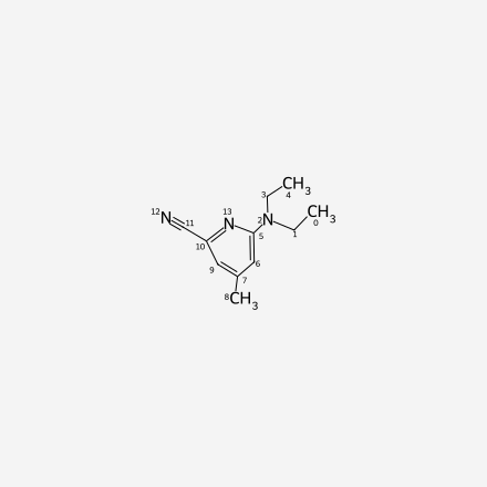 CCN(CC)c1cc(C)cc(C#N)n1